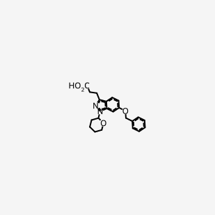 O=C(O)CCc1nn(C2CCCCO2)c2cc(OCc3ccccc3)ccc12